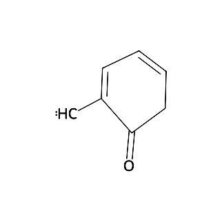 [CH]C1=CC=CCC1=O